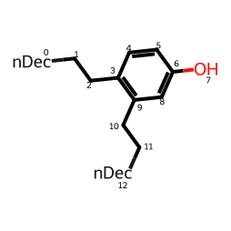 CCCCCCCCCCCCc1ccc(O)cc1CCCCCCCCCCCC